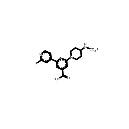 NC(=O)c1cc(-c2ccnc(F)c2)nc(N2CCC(NC(=O)O)CC2)c1